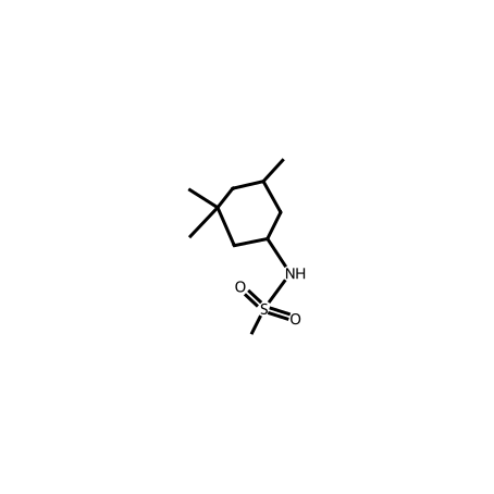 CC1CC(NS(C)(=O)=O)CC(C)(C)C1